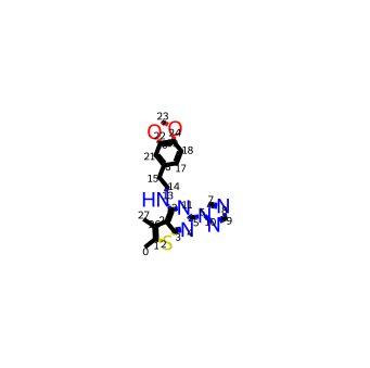 Cc1sc2nc(-n3cncn3)nc(NCCc3ccc4c(c3)OCO4)c2c1C